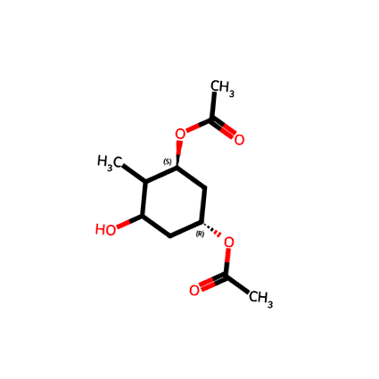 CC(=O)O[C@@H]1CC(O)C(C)[C@@H](OC(C)=O)C1